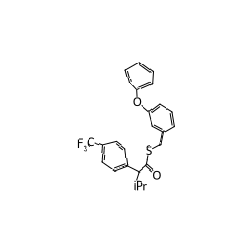 CC(C)C(C(=O)SCc1cccc(Oc2ccccc2)c1)c1ccc(C(F)(F)F)cc1